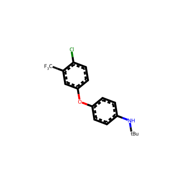 CC(C)(C)Nc1ccc(Oc2ccc(Cl)c(C(F)(F)F)c2)cc1